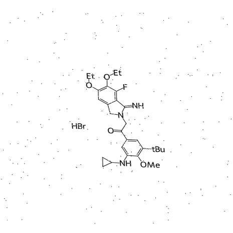 Br.CCOc1cc2c(c(F)c1OCC)C(=N)N(CC(=O)c1cc(NC3CC3)c(OC)c(C(C)(C)C)c1)C2